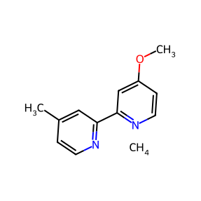 C.COc1ccnc(-c2cc(C)ccn2)c1